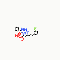 N[C@H](C(=O)NC(CCCCCc1cccc(F)c1)C(=O)O)c1ccccc1